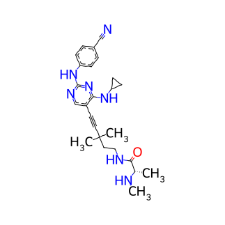 CN[C@@H](C)C(=O)NCCC(C)(C)C#Cc1cnc(Nc2ccc(C#N)cc2)nc1NC1CC1